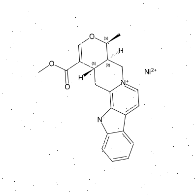 COC(=O)C1=CO[C@@H](C)[C@H]2C[n+]3ccc4c([n-]c5ccccc54)c3C[C@H]12.[Ni+2]